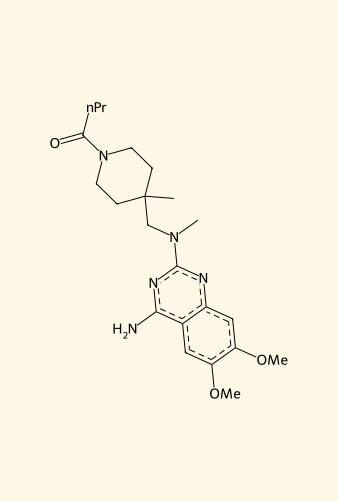 CCCC(=O)N1CCC(C)(CN(C)c2nc(N)c3cc(OC)c(OC)cc3n2)CC1